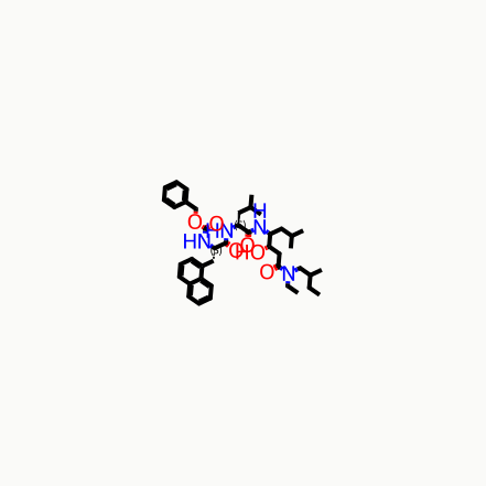 CCC(C)CN(CC)C(=O)CC(O)C(CC(C)C)NC(=O)[C@H](CC(C)C)NC(=O)[C@H](Cc1cccc2ccccc12)NC(=O)OCc1ccccc1